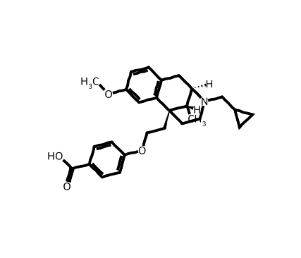 COc1ccc2c(c1)[C@@]1(CCOc3ccc(C(=O)O)cc3)CCN(CC3CC3)[C@H](C2)[C@@H]1C